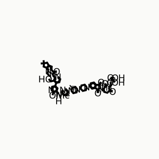 COc1ncc(-c2ccnc(N3CCn4c(cc5c4CC(C)(C)C5)C3=O)c2CO)cc1Nc1ccc(N2CCN(C3CCN(c4ccc5c(c4)C(=O)N([C@H]4CCC(=O)N(COP(=O)(O)O)C4=O)C5=O)CC3)C[C@@H]2C)cn1